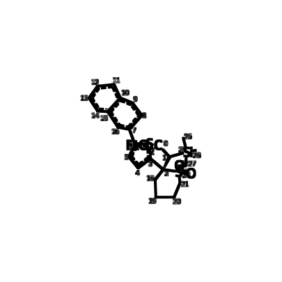 CCOC(=O)C([C@]1(c2ccc(-c3ccc4ccccc4c3)s2)CCCCS1(=O)=O)[Si](C)(C)C